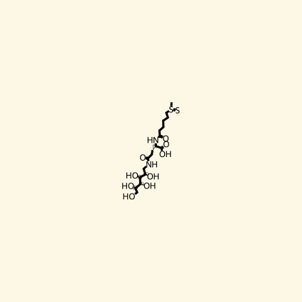 CS(=S)CCCCCC(=O)N[C@@H](CCC(=O)NC[C@H](O)[C@@H](O)[C@H](O)[C@H](O)CO)C(=O)O